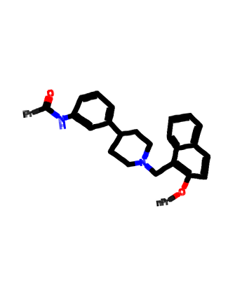 CCCOc1ccc2ccccc2c1CN1CCC(c2cccc(NC(=O)C(C)C)c2)CC1